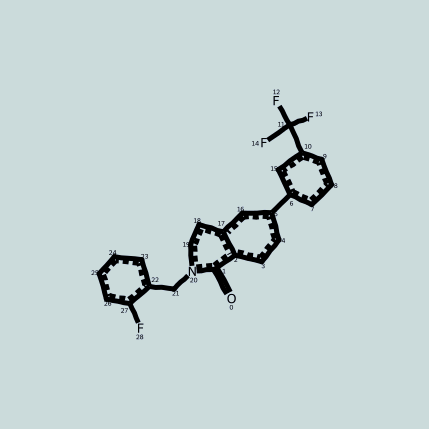 O=c1c2ccc(-c3cccc(C(F)(F)F)c3)cc2ccn1Cc1ccccc1F